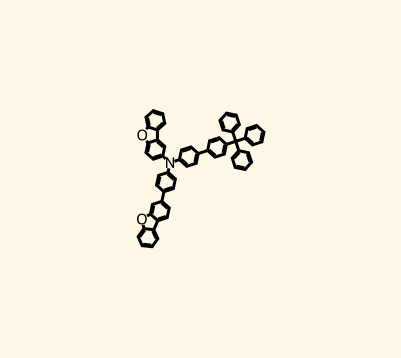 c1ccc(C(c2ccccc2)(c2ccccc2)c2ccc(-c3ccc(N(c4ccc(-c5ccc6c(c5)oc5ccccc56)cc4)c4ccc5oc6ccccc6c5c4)cc3)cc2)cc1